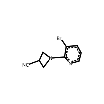 N#CC1CN(c2ncccc2Br)C1